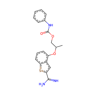 CC(COC(=O)Nc1ccccc1)Oc1cccc2sc(C(=N)N)cc12